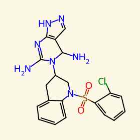 NC1=Nc2[nH]ncc2C(N)N1C1Cc2ccccc2N(S(=O)(=O)c2ccccc2Cl)C1